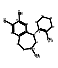 CC1=C([C@@H]2CN(C)CCc3cc(Cl)c(O)cc32)CCCC1